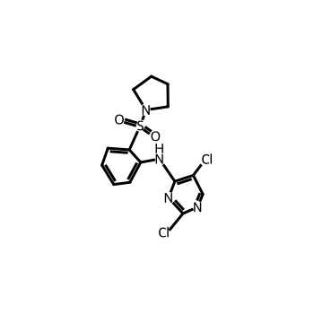 O=S(=O)(c1ccccc1Nc1nc(Cl)ncc1Cl)N1CCCC1